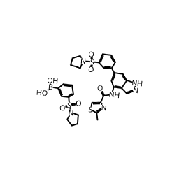 Cc1nc(C(=O)Nc2cc(-c3cccc(S(=O)(=O)N4CCCC4)c3)cc3[nH]ncc23)cs1.O=S(=O)(c1cccc(B(O)O)c1)N1CCCC1